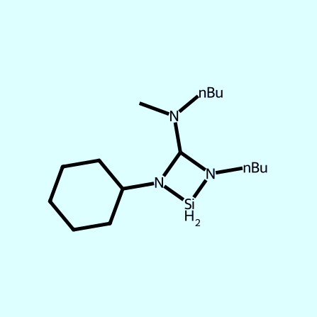 CCCCN(C)C1N(CCCC)[SiH2]N1C1CCCCC1